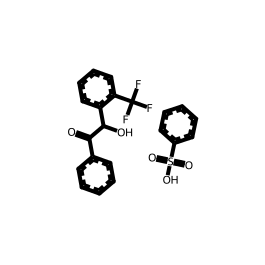 O=C(c1ccccc1)C(O)c1ccccc1C(F)(F)F.O=S(=O)(O)c1ccccc1